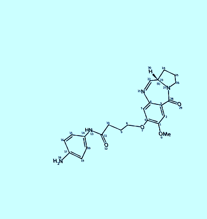 COc1cc2c(cc1OCCCC(=O)Nc1ccc(N)cc1)N=C[C@@H]1CCCN1C2=O